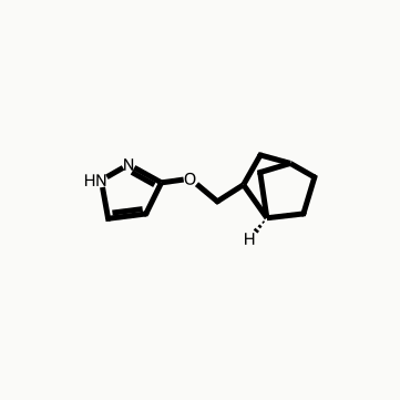 c1cc(OCC2CC3CC[C@@H]2C3)n[nH]1